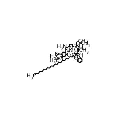 CCCCCCCCCCCCCCCCCCC[C@H](COP(=O)(OC[C@@]1(C)O[C@@H](c2ccc3c(N)ncnn23)[C@@H]2OC(C)(C)O[C@@H]21)Oc1ccccc1Cl)Oc1ccc(C#N)c(OC(C)C)c1